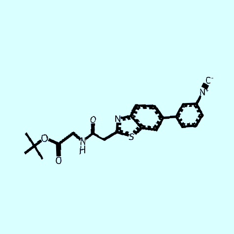 [C-]#[N+]c1cccc(-c2ccc3nc(CC(=O)NCC(=O)OC(C)(C)C)sc3c2)c1